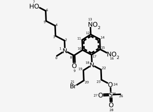 CN(CCCCCO)C(=O)c1cc([N+](=O)[O-])cc([N+](=O)[O-])c1N(CCBr)CCOS(C)(=O)=O